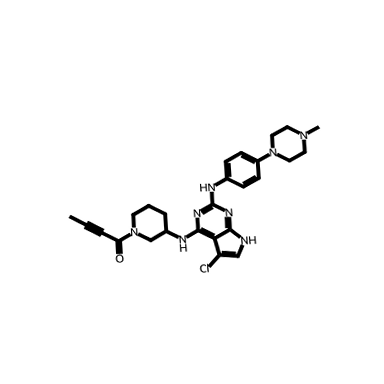 CC#CC(=O)N1CCCC(Nc2nc(Nc3ccc(N4CCN(C)CC4)cc3)nc3[nH]cc(Cl)c23)C1